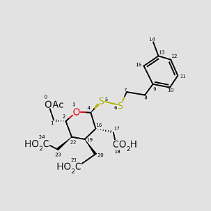 CC(=O)OC[C@@H]1O[C@@H](SSCCc2cccc(C)c2)[C@H](CC(=O)O)[C@@H](CC(=O)O)[C@H]1CC(=O)O